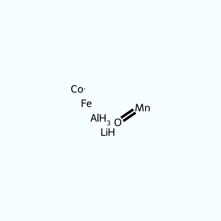 [AlH3].[Co].[Fe].[LiH].[O]=[Mn]